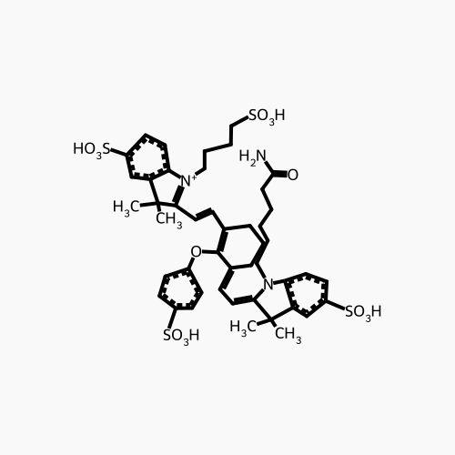 CC1(C)C(/C=C/C2=C(Oc3ccc(S(=O)(=O)O)cc3)C(=C/C=C3\N(CCCCCC(N)=O)c4ccc(S(=O)(=O)O)cc4C3(C)C)/CCC2)=[N+](CCCCS(=O)(=O)O)c2ccc(S(=O)(=O)O)cc21